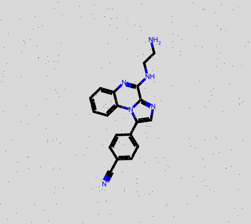 N#Cc1ccc(-c2cnc3c(NCCN)nc4ccccc4n23)cc1